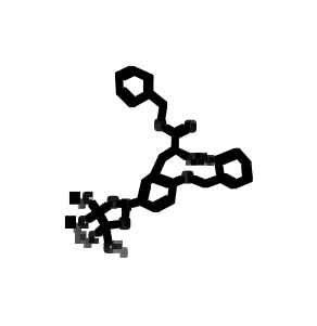 CN[C@@H](Cc1cc(B2OC(C)(C)C(C)(C)O2)ccc1OCc1ccccc1)C(=O)OCc1ccccc1